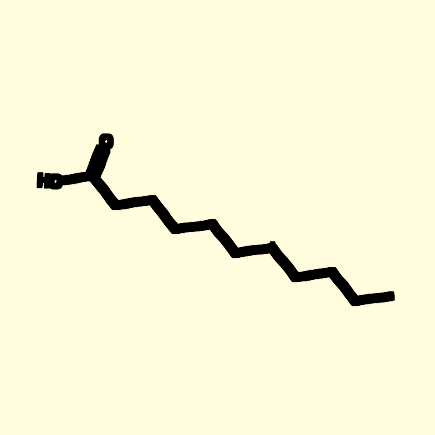 CCCC[CH]CCCCCC(=O)O